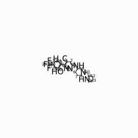 Cc1cc(N[C@@H]2CCCN(C[C@@H]3CCCN3)C2)nnc1-c1ccc(C(F)(F)F)cc1O